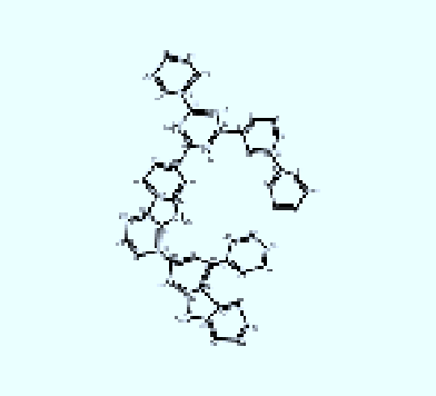 c1ccc(-c2cccc(-c3nc(-c4ccccc4)nc(-c4ccc5c(c4)oc4c(-c6cc(-c7ccccc7)c7c(c6)sc6ccccc67)cccc45)n3)c2)cc1